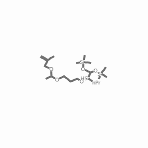 C=C(C)COC(C)OCCCO[SiH](CCC)C(O[Si](C)(C)C)O[Si](C)(C)C